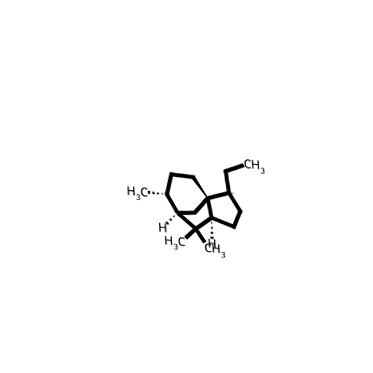 CC[C]1CC[C@H]2C(C)(C)[C@@H]3C[C@]12CC[C@H]3C